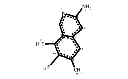 Cc1cc2cc(N)ncc2c(C)c1F